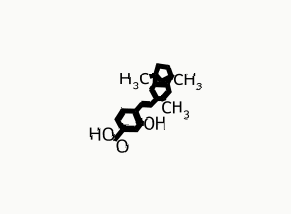 Cc1cc2c(cc1C=Cc1ccc(C(=O)O)cc1O)C1(C)CCC2(C)C1